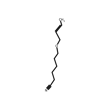 C/C=C/COCCCCCC#N